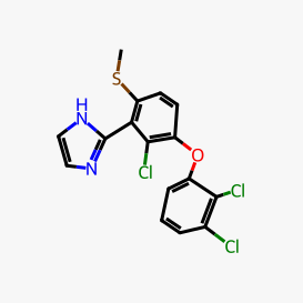 CSc1ccc(Oc2cccc(Cl)c2Cl)c(Cl)c1-c1ncc[nH]1